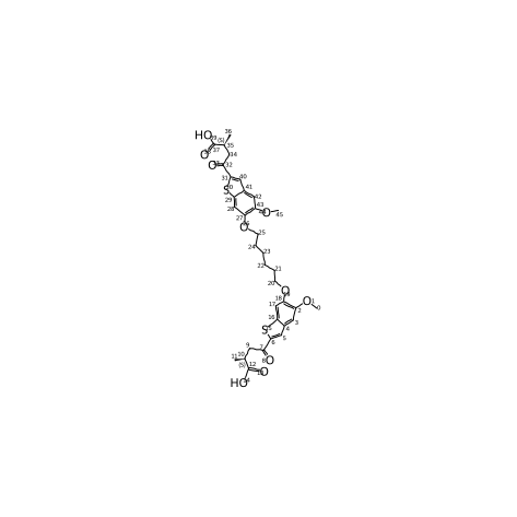 COc1cc2cc(C(=O)C[C@H](C)C(=O)O)sc2cc1OCCCCCCOc1cc2sc(C(=O)C[C@H](C)C(=O)O)cc2cc1OC